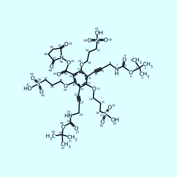 CC(C)(C)OC(=O)NCC#Cc1c(OCCCS(=O)(=O)O)c(C#CCNC(=O)OC(C)(C)C)c(OCCCS(=O)(=O)O)c(C(=O)ON2C(=O)CCC2=O)c1OCCCS(=O)(=O)O